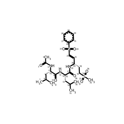 CC(=O)N[C@@H](CC(C)C)C(=O)N[C@@H](CC(C)C)C(=O)N[C@H](C=CS(=O)(=O)c1ccccc1)CCS(C)(=O)=O